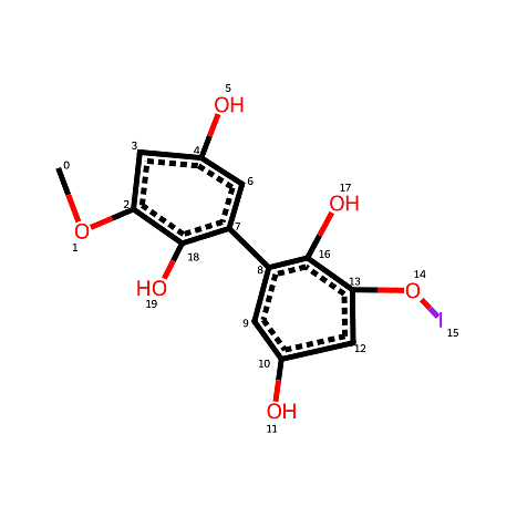 COc1cc(O)cc(-c2cc(O)cc(OI)c2O)c1O